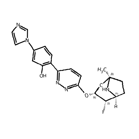 C[C@]12CC[C@H](N1)[C@H](F)[C@H](Oc1ccc(-c3ccc(-n4ccnc4)cc3O)nn1)C2